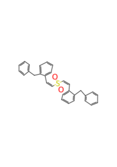 O=S(=O)(/C=C\c1ccccc1Cc1ccccc1)/C=C\c1ccccc1Cc1ccccc1